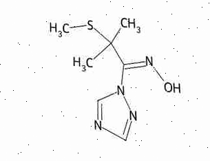 CSC(C)(C)/C(=N/O)n1cncn1